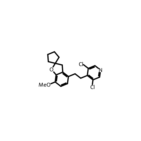 COc1ccc(CCc2c(Cl)cncc2Cl)c2c1OC1(CCCC1)C2